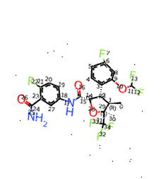 C[C@@H]1[C@@H](c2ccc(F)cc2OC(F)F)[C@@H](C(=O)Nc2ccc(F)c(C(N)=O)c2)O[C@]1(C)C(F)(F)F